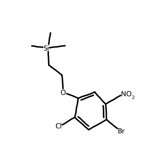 C[Si](C)(C)CCOc1cc([N+](=O)[O-])c(Br)cc1Cl